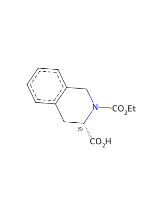 CCOC(=O)N1Cc2ccccc2C[C@H]1C(=O)O